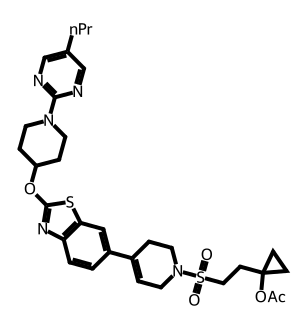 CCCc1cnc(N2CCC(Oc3nc4ccc(C5=CCN(S(=O)(=O)CCC6(OC(C)=O)CC6)CC5)cc4s3)CC2)nc1